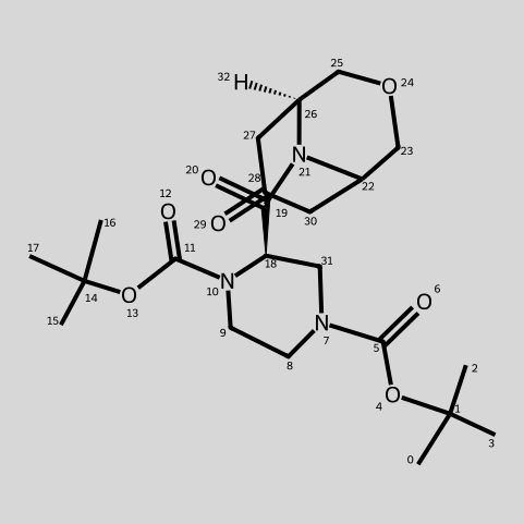 CC(C)(C)OC(=O)N1CCN(C(=O)OC(C)(C)C)[C@@H](C(=O)N2C3COC[C@@H]2CC(=O)C3)C1